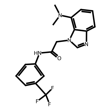 CN(C)c1cccc2ncn(CC(=O)Nc3cccc(C(F)(F)F)c3)c12